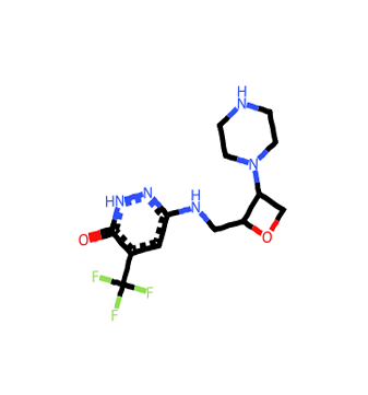 O=c1[nH]nc(NCC2OCC2N2CCNCC2)cc1C(F)(F)F